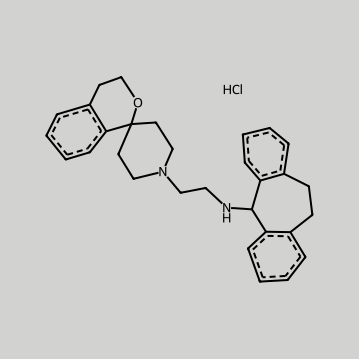 Cl.c1ccc2c(c1)CCc1ccccc1C2NCCN1CCC2(CC1)OCCc1ccccc12